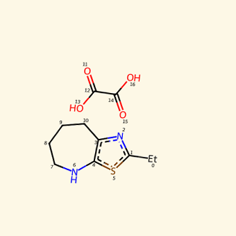 CCc1nc2c(s1)NCCCC2.O=C(O)C(=O)O